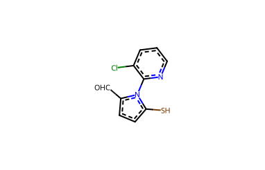 O=Cc1ccc(S)n1-c1ncccc1Cl